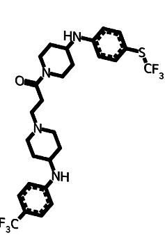 O=C(CCN1CCC(Nc2ccc(C(F)(F)F)cc2)CC1)N1CCC(Nc2ccc(SC(F)(F)F)cc2)CC1